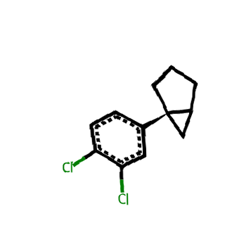 Clc1ccc([C@@]23CCCC2C3)cc1Cl